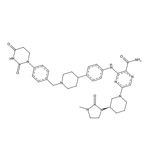 CN1CCN([C@@H]2CCCN(c3cnc(C(N)=O)c(Nc4ccc(C5CCN(Cc6ccc(N7CCC(=O)NC7=O)cc6)CC5)cc4)n3)C2)C1=O